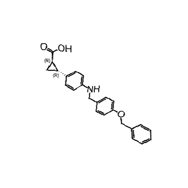 O=C(O)[C@@H]1C[C@H]1c1ccc(NCc2ccc(OCc3ccccc3)cc2)cc1